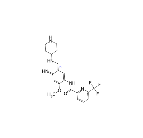 COC1=CC(=N)/C(=C\NC2CCNCC2)C=C1NC(=O)c1cccc(C(F)(F)F)n1